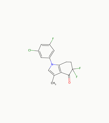 Cc1cn(-c2cc(F)cc(Cl)c2)c2c1C(=O)C(F)(F)CC2